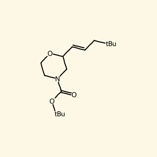 CC(C)(C)C/C=C/C1CN(C(=O)OC(C)(C)C)CCO1